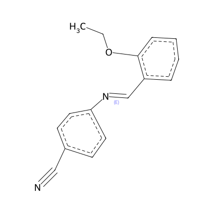 CCOc1ccccc1/C=N/c1ccc(C#N)cc1